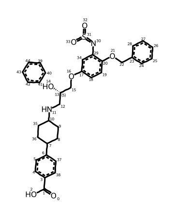 O=C(O)c1ccc(C2CCC(NC[C@H](O)COc3ccc(OCc4ccccc4)c(N=S(=O)=O)c3)CC2)cc1.c1ccccc1